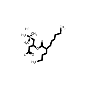 CCCCCCC(CCCC)C(=O)OC(CC(=O)[O-])C[N+](C)(C)C.Cl